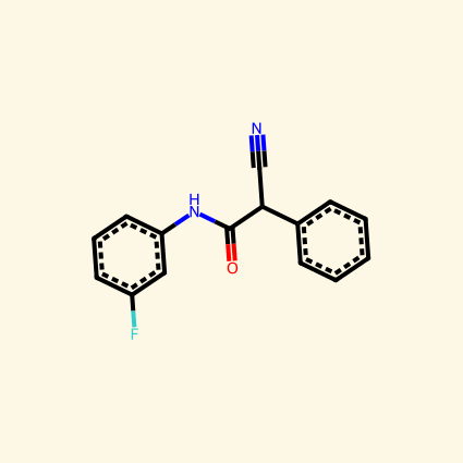 N#CC(C(=O)Nc1cccc(F)c1)c1ccccc1